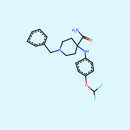 NC(=O)C1(Nc2ccc(OC(F)F)cc2)CCN(Cc2ccccc2)CC1